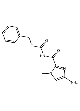 Cn1cc(N)nc1C(=O)NC(=O)OCc1ccccc1